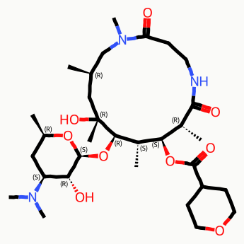 C[C@H]1CN(C)C(=O)CCNC(=O)[C@H](C)[C@@H](OC(=O)C2CCOCC2)[C@H](C)[C@@H](O[C@@H]2O[C@H](C)C[C@H](N(C)C)[C@H]2O)[C@](C)(O)C1